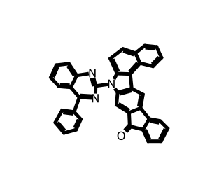 O=C1c2ccccc2-c2cc3c4c5ccccc5ccc4n(-c4nc(-c5ccccc5)c5ccccc5n4)c3cc21